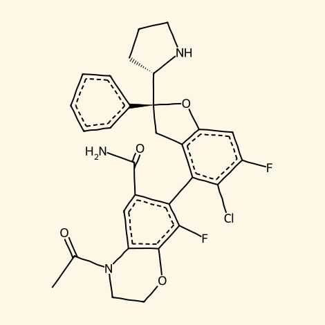 CC(=O)N1CCOc2c1cc(C(N)=O)c(-c1c(Cl)c(F)cc3c1C[C@](c1ccccc1)([C@@H]1CCCN1)O3)c2F